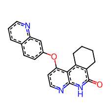 O=c1[nH]c2nccc(Oc3ccc4cccnc4c3)c2c2c1CCCC2